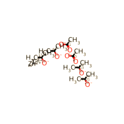 CC(=O)[O-].CC(=O)[O-].CC(C)[O-].CC(C)[O-].CC(C)[O-].CC(C)[O-].[Ti+4].[Zn+2]